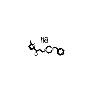 Cc1ccc(C(=O)CCN2CCN(Cc3ccccc3)CC2)s1.Cl.Cl